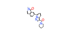 Cn1ccc2ccc(-c3cccc4c(C(=O)N5CCCCC5)cnn34)cc2c1=O